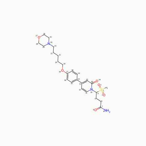 CS(=O)(=O)C(CCC(N)=O)n1ccc(-c2ccc(OCCCCCN3CCOCC3)cc2)cc1=O